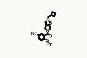 CC(C)Oc1ccc(C#N)cc1C(=O)N1Cc2cn(CC3CCC3)nc2C1